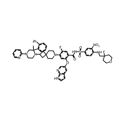 CC(C)c1ccccc1C1(C)CN(c2ccccn2)CCN1C1CC2(CCN(c3cc(Oc4cnc5[nH]ccc5c4)c(C(=O)NS(=O)(=O)c4ccc(NCC5(F)CCOCC5)c([N+](=O)[O-])c4)cc3F)CC2)C1